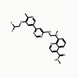 CNC(=O)c1ccnc2c([C@H](C)CNc3cc(-c4cnc(C)c(OCC(F)F)c4)ncn3)cccc12